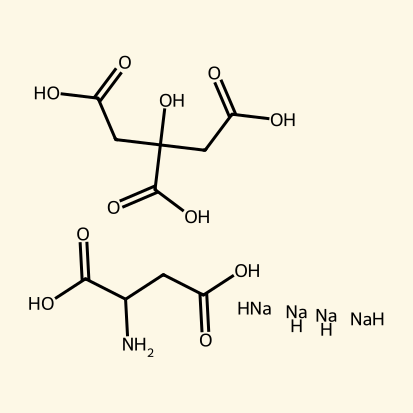 NC(CC(=O)O)C(=O)O.O=C(O)CC(O)(CC(=O)O)C(=O)O.[NaH].[NaH].[NaH].[NaH]